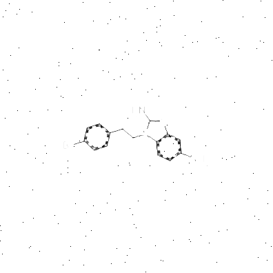 Nc1ccc2c(c1)SC(N)N2CCc1ccc(Br)cc1